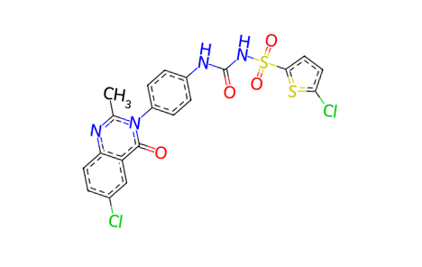 Cc1nc2ccc(Cl)cc2c(=O)n1-c1ccc(NC(=O)NS(=O)(=O)c2ccc(Cl)s2)cc1